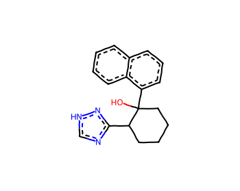 OC1(c2cccc3ccccc23)CCCCC1c1nc[nH]n1